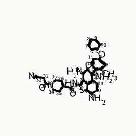 Cc1cc(Oc2ccccc2)ccc1C1(N)C(=O)C(N)c2c(NC(=O)C3CCN(C(=O)CC#N)CC3)sc3c(N)ccc1c23